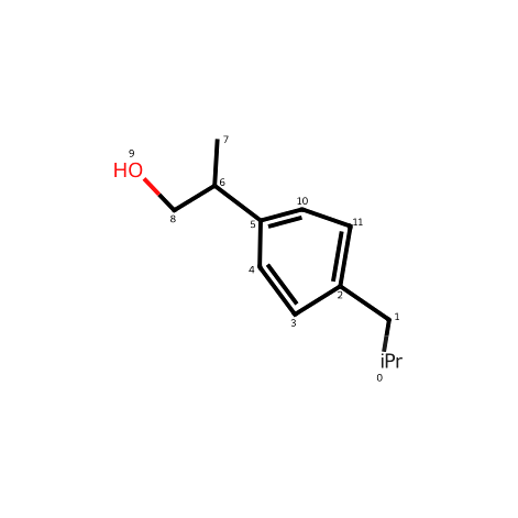 CC(C)Cc1ccc(C(C)CO)cc1